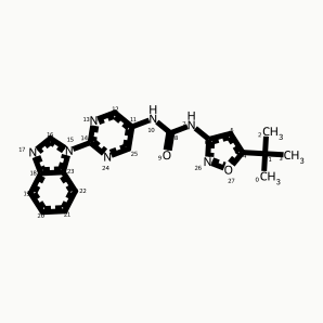 CC(C)(C)c1cc(NC(=O)Nc2cnc(-n3cnc4ccccc43)nc2)no1